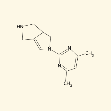 Cc1cc(C)nc(N2C=C3CNCC3C2)n1